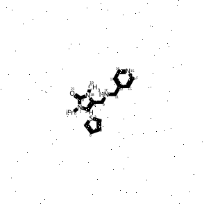 CC(C)n1c([SH]2C=CC=C2)c(CNCc2ccncc2)n(C)c1=O